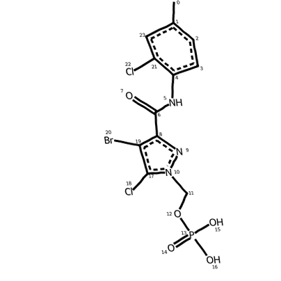 Cc1ccc(NC(=O)c2nn(COP(=O)(O)O)c(Cl)c2Br)c(Cl)c1